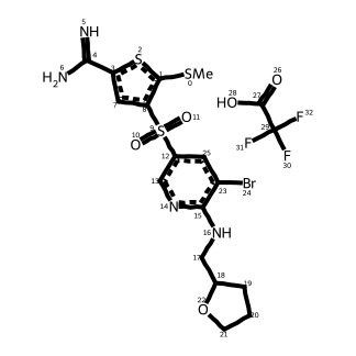 CSc1sc(C(=N)N)cc1S(=O)(=O)c1cnc(NCC2CCCO2)c(Br)c1.O=C(O)C(F)(F)F